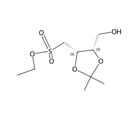 CCOS(=O)(=O)C[C@H]1OC(C)(C)O[C@H]1CO